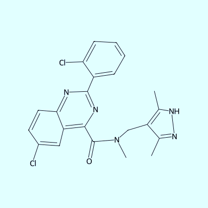 Cc1n[nH]c(C)c1CN(C)C(=O)c1nc(-c2ccccc2Cl)nc2ccc(Cl)cc12